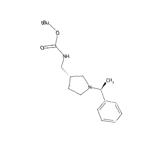 C[C@@H](c1ccccc1)N1CC[C@H](CNC(=O)OC(C)(C)C)C1